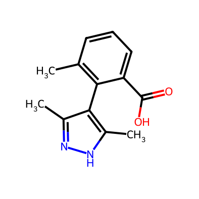 Cc1cccc(C(=O)O)c1-c1c(C)n[nH]c1C